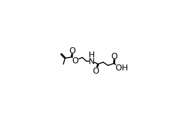 C=C(C)C(=O)OCCNC(=O)CCC(=O)O